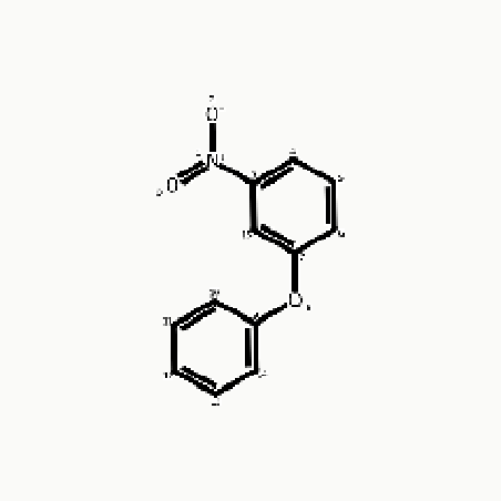 O=[N+]([O-])c1cccc(Oc2[c]cccc2)c1